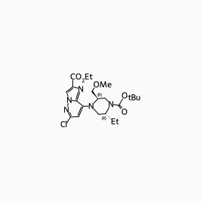 CCOC(=O)c1cn2nc(Cl)cc(N3C[C@@H](CC)N(C(=O)OC(C)(C)C)C[C@@H]3COC)c2n1